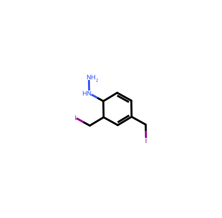 NNC1C=CC(CI)=CC1CI